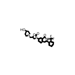 O=C1OC(CN2CCC(O)CC2)CN1c1ccc2cc(-c3ccccc3C(F)(F)F)[nH]c(=O)c2c1